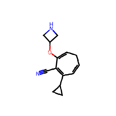 N#CC1=C(C2CC2)C=CCC=C1OC1CNC1